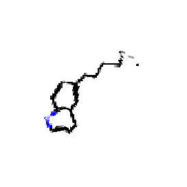 [CH2]CCCCc1ccc2ncccc2c1